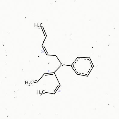 C=C/C=C\CN(C(/C=C\C)=C/C=C)c1ccccc1